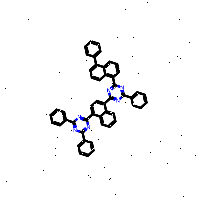 C1=CCCC(c2nc(-c3cccc4c(-c5ccccc5)cccc34)nc(-c3ccc(-c4nc(-c5ccccc5)nc(-c5ccccc5)n4)c4ccccc34)n2)=C1